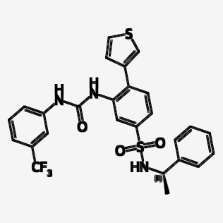 C[C@@H](NS(=O)(=O)c1ccc(-c2ccsc2)c(NC(=O)Nc2cccc(C(F)(F)F)c2)c1)c1ccccc1